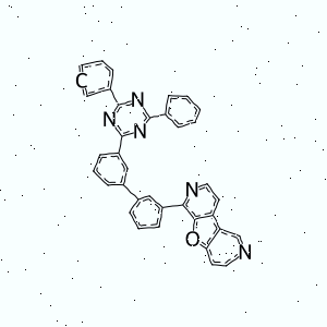 c1ccc(-c2nc(-c3ccccc3)nc(-c3cccc(-c4cccc(-c5nccc6c5oc5ccncc56)c4)c3)n2)cc1